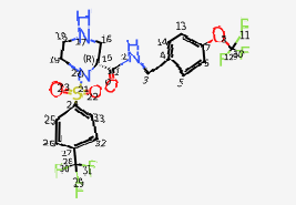 O=C(NCc1ccc(OC(F)(F)F)cc1)[C@H]1CNCCN1S(=O)(=O)c1ccc(C(F)(F)F)cc1